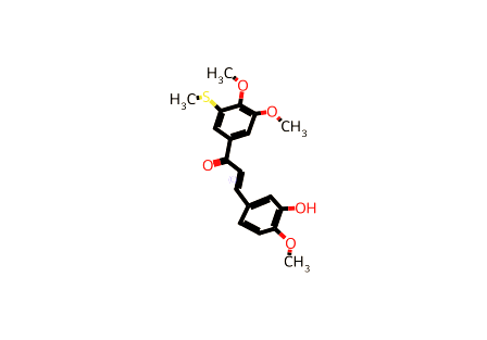 COc1ccc(/C=C/C(=O)c2cc(OC)c(OC)c(SC)c2)cc1O